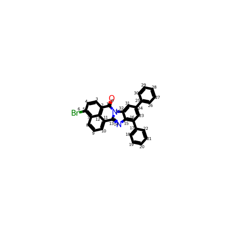 O=c1c2ccc(Br)c3cccc(c32)c2nc3c(-c4ccccc4)cc(-c4ccccc4)cc3n12